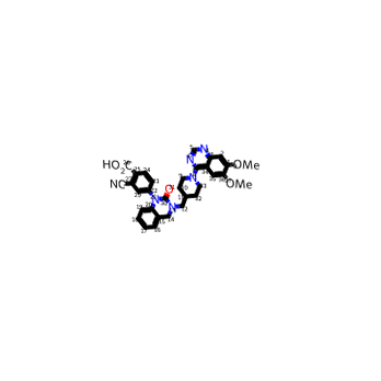 COc1cc2ncnc(N3CCC(CN4Cc5ccccc5N(c5ccc(C(=O)O)c(C#N)c5)C4=O)CC3)c2cc1OC